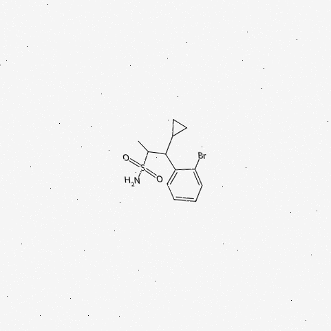 CC(C(c1ccccc1Br)C1CC1)S(N)(=O)=O